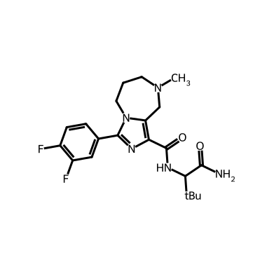 CN1CCCn2c(-c3ccc(F)c(F)c3)nc(C(=O)NC(C(N)=O)C(C)(C)C)c2C1